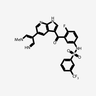 CN/C=C(\C=N)c1cnc2[nH]cc(C(=O)c3cc(NS(=O)(=O)c4cccc(C(F)(F)F)c4)ccc3F)c2c1